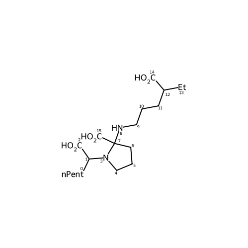 CCCCCC(C(=O)O)N1CCCC1(NCCCC(CC)C(=O)O)C(=O)O